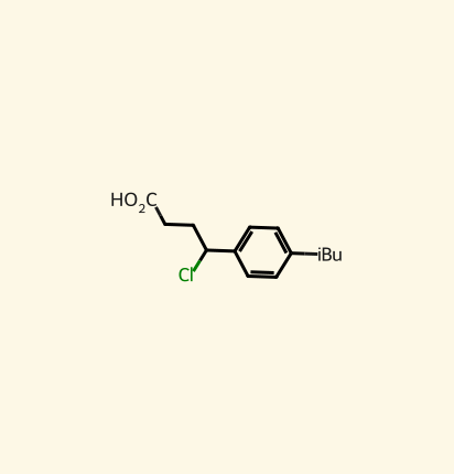 CCC(C)c1ccc(C(Cl)CCC(=O)O)cc1